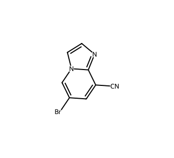 N#Cc1cc(Br)cn2ccnc12